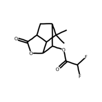 CC1(C)C2CC3C(=O)OC(C2OC(=O)C(F)F)C31